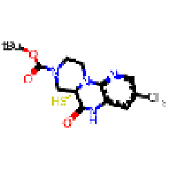 CC(C)(C)OC(=O)N1CCN2c3ncc(C(F)(F)F)cc3NC(=O)[C@@]2(S)C1